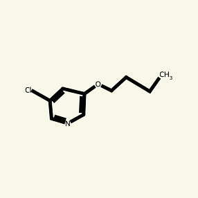 CCCCOc1cncc(Cl)c1